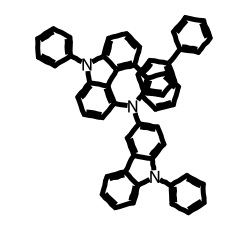 c1ccc(-c2ccc(N(c3ccc4c(c3)c3ccccc3n4-c3ccccc3)c3cccc4c3c3c(-c5ccccc5)cccc3n4-c3ccccc3)cc2)cc1